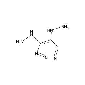 NNc1cnnnc1NN